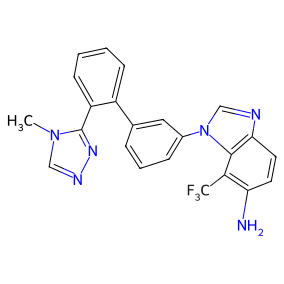 Cn1cnnc1-c1ccccc1-c1cccc(-n2cnc3ccc(N)c(C(F)(F)F)c32)c1